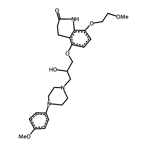 COCCOc1ccc(OCC(O)CN2CCN(c3ccc(OC)cc3)CC2)c2c1NC(=O)CC2